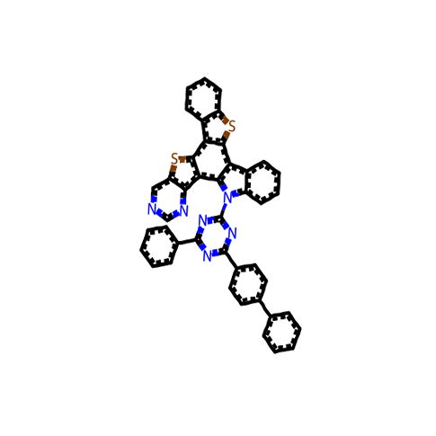 c1ccc(-c2ccc(-c3nc(-c4ccccc4)nc(-n4c5ccccc5c5c6sc7ccccc7c6c6sc7cncnc7c6c54)n3)cc2)cc1